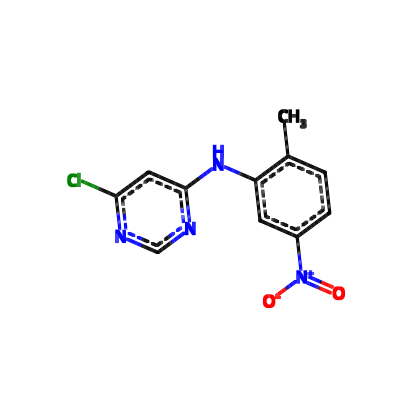 Cc1ccc([N+](=O)[O-])cc1Nc1cc(Cl)ncn1